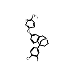 Cc1ccc(Oc2ccc3c(c2)CN2CCC3(c3ccc(Cl)c(F)c3)CC2)nn1